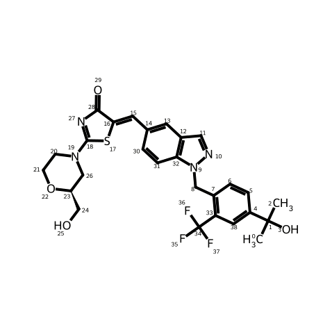 CC(C)(O)c1ccc(Cn2ncc3cc(/C=C4\SC(N5CCO[C@H](CO)C5)=NC4=O)ccc32)c(C(F)(F)F)c1